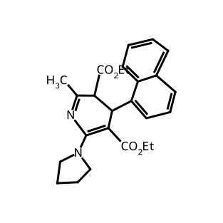 CCOC(=O)C1=C(N2CCCC2)N=C(C)C(C(=O)OCC)C1c1cccc2ccccc12